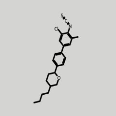 CCCCC1CCC(c2ccc(-c3cc(C)c(N=C=S)c(Cl)c3)cc2)OC1